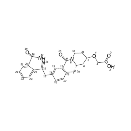 O=C(O)COC1CCN(C(=O)c2cc(Cc3n[nH]c(=O)c4ccccc34)ccc2F)CC1